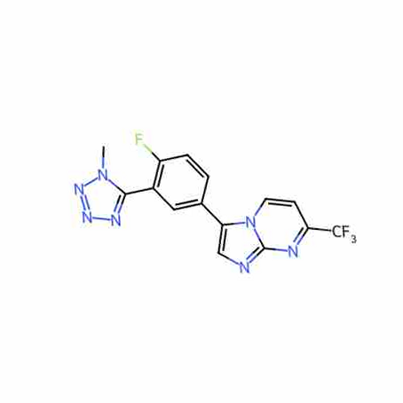 Cn1nnnc1-c1cc(-c2cnc3nc(C(F)(F)F)ccn23)ccc1F